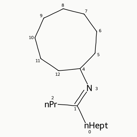 CCCCCCCC(CCC)=NC1CCCCCCCC1